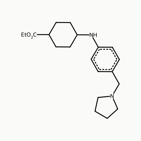 CCOC(=O)C1CCC(Nc2ccc(CN3CCCC3)cc2)CC1